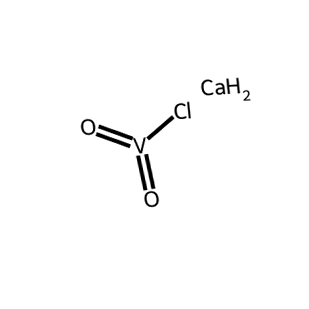 [CaH2].[O]=[V](=[O])[Cl]